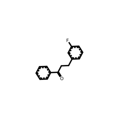 O=C(CCc1cccc(F)c1)c1ccccc1